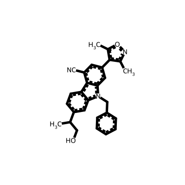 Cc1noc(C)c1-c1cc(C#N)c2c3ccc(C(C)CO)cc3n(Cc3ccccc3)c2c1